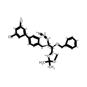 CC1(C)OC[C@@H]([C@H](OCc2ccccc2)[C@@H](Cc2ccc(-c3cc(Cl)cc(Cl)c3)cc2)N=[N+]=[N-])O1